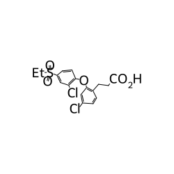 CCS(=O)(=O)c1ccc(Oc2cc(Cl)ccc2CCC(=O)O)c(Cl)c1